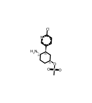 CS(=O)(=O)O[C@H]1CC[C@H](N)[C@@H](c2ccc(Cl)nc2)C1